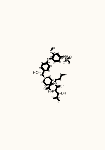 CCCCN1C(=O)[C@@H]([C@H](O)C(C)C)NC(=O)C12CCN(Cc1ccc(Oc3ccc(NS(C)(=O)=O)cc3OC)cc1)CC2.Cl